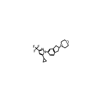 FC(F)(F)c1cc(C2CC2)n(-c2ccc3c(c2)CC(N2CCOCC2)C3)n1